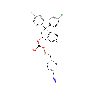 CC(CC(c1ccc(F)cc1)(c1ccc(F)cc1)c1ccc(F)cc1)OB(O)OSCc1ccc(C#N)cc1